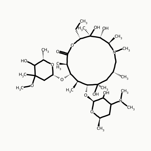 CC[C@H]1OC(=O)[C@H](C)[C@@H](O[C@@H]2CC(C)(OC)C(O)[C@H](C)O2)[C@H](C)[C@@H](O[C@@H]2O[C@H](C)CC(N(C)C)C2O)[C@](C)(O)C[C@@H](C)CN(C)[C@H](C)[C@@H](O)[C@]1(C)O